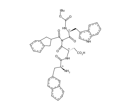 CC(C)(C)OC(=O)N[C@@H](Cc1c[nH]c2ccccc12)C(=O)N(C(=O)C1Cc2ccccc2C1)C(=O)[C@H](CC(=O)O)NC(=O)[C@@H](N)Cc1ccc2ccccc2c1